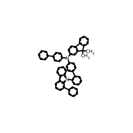 CC1(C)c2ccccc2-c2ccc(N(c3ccc(-c4ccccc4)cc3)c3ccc(-c4ccccc4-n4c5ccccc5c5cccc(-c6ccccc6)c54)cc3)cc21